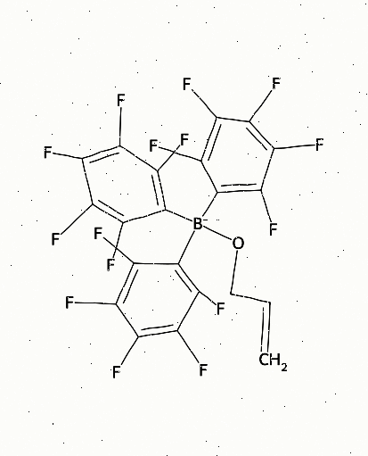 C=CCO[B-](c1c(F)c(F)c(F)c(F)c1F)(c1c(F)c(F)c(F)c(F)c1F)c1c(F)c(F)c(F)c(F)c1F